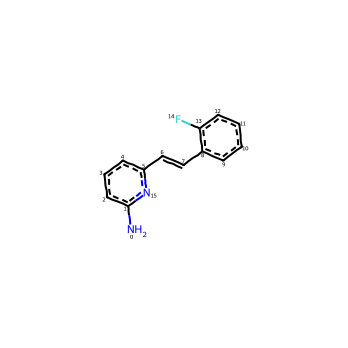 Nc1cccc(C=Cc2ccccc2F)n1